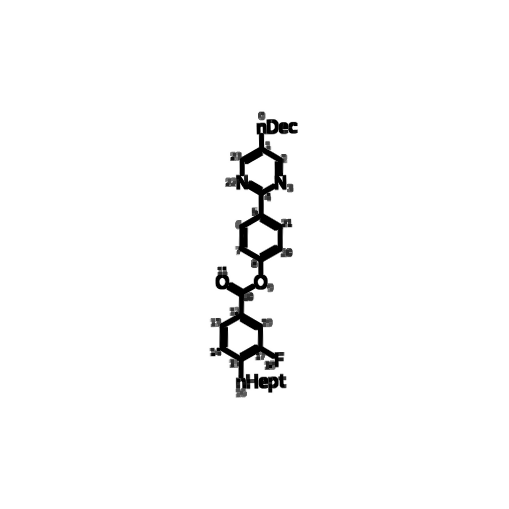 CCCCCCCCCCc1cnc(-c2ccc(OC(=O)c3ccc(CCCCCCC)c(F)c3)cc2)nc1